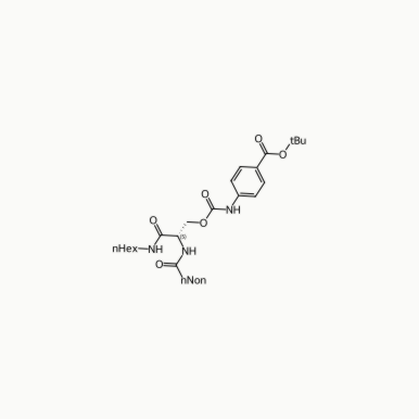 CCCCCCCCCC(=O)N[C@@H](COC(=O)Nc1ccc(C(=O)OC(C)(C)C)cc1)C(=O)NCCCCCC